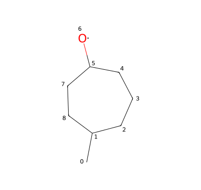 CC1CCCC([O])CC1